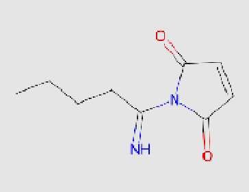 CCCCC(=N)N1C(=O)C=CC1=O